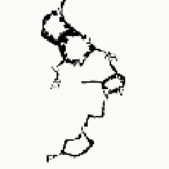 CCOc1nc(Nc2cnn(CCN3CC[C@@H](F)C3)c2C)nc2c1ccn2C